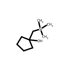 C[Si](C)(C)CC1(O)CCCC1